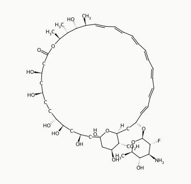 C[C@@H]1[C@H](O)[C@@H](C)/C=C/C=C/C=C/C=C/C=C/C=C/C=C/[C@H](O[C@@H]2O[C@H](C)[C@@H](O)[C@H](N)[C@H]2F)C[C@@H]2O[C@](O)(C[C@@H](O)C[C@@H](O)[C@H](O)CC[C@@H](O)C[C@@H](O)CC(=O)O[C@H]1C)C[C@H](O)[C@H]2C(=O)O